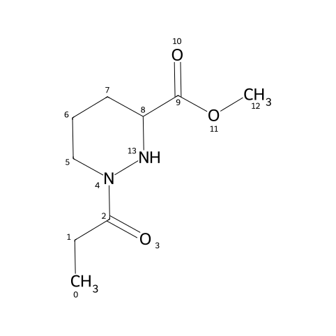 CCC(=O)N1CCCC(C(=O)OC)N1